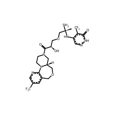 C[C@]([SiH3])(COC[C@@H](O)C(=O)N1CCN2c3ncc(C(F)(F)F)cc3COC[C@H]2C1)Nc1cn[nH]c(=O)c1C(F)(F)F